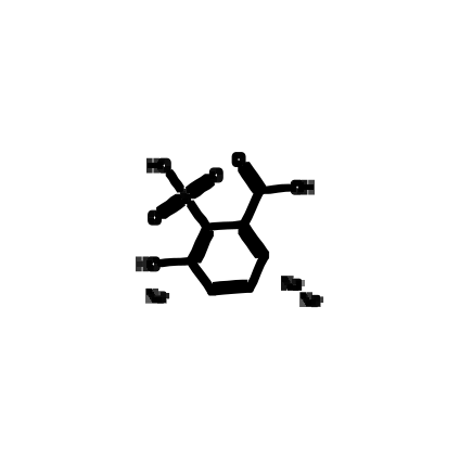 O=C(O)c1cccc(O)c1S(=O)(=O)O.[Na].[Na].[Na]